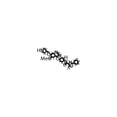 COc1cc2c(Oc3ccc(NC(=O)c4nc(-c5ccccc5)oc4C)cc3F)ccnc2cc1OCC1CCNCC1